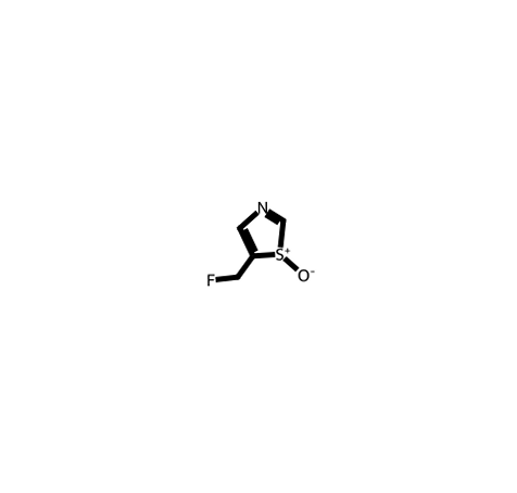 [O-][s+]1cncc1CF